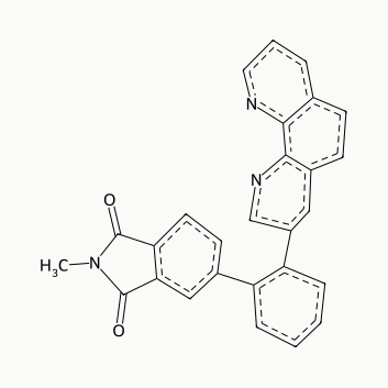 CN1C(=O)c2ccc(-c3ccccc3-c3cnc4c(ccc5cccnc54)c3)cc2C1=O